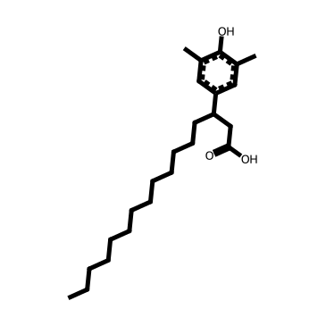 CCCCCCCCCCCCCC(CC(=O)O)c1cc(C)c(O)c(C)c1